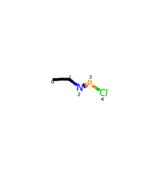 CCN=PCl